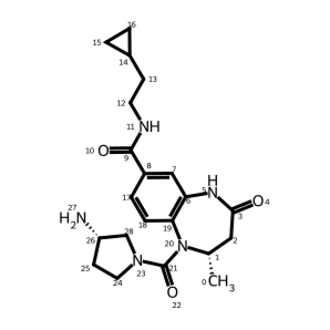 C[C@H]1CC(=O)Nc2cc(C(=O)NCCC3CC3)ccc2N1C(=O)N1CC[C@H](N)C1